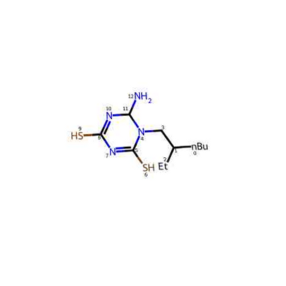 CCCCC(CC)CN1C(S)=NC(S)=NC1N